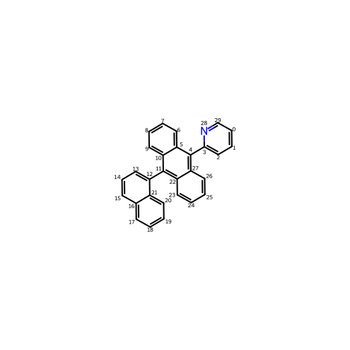 c1ccc(-c2c3ccccc3c(-c3cccc4ccccc34)c3ccccc23)nc1